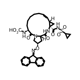 O=C(O)N[C@H]1CCCCCC=C[C@@H]2C[C@@]2(C(=O)NS(=O)(=O)C2CC2)NC(=O)[C@@H]2C[C@@H](ON=C3c4ccccc4-c4ccccc43)CN2C1=O